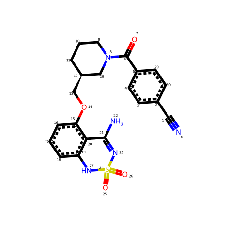 N#Cc1ccc(C(=O)N2CCC[C@H](COc3cccc4c3C(N)=NS(=O)(=O)N4)C2)cc1